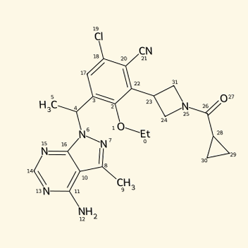 CCOc1c(C(C)n2nc(C)c3c(N)ncnc32)cc(Cl)c(C#N)c1C1CN(C(=O)C2CC2)C1